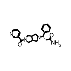 NC(=O)C[C@@H](c1ccccc1)N1CC2CN(C(=O)c3cccnc3)CC2C1